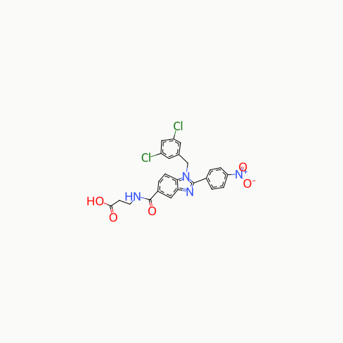 O=C(O)CCNC(=O)c1ccc2c(c1)nc(-c1ccc([N+](=O)[O-])cc1)n2Cc1cc(Cl)cc(Cl)c1